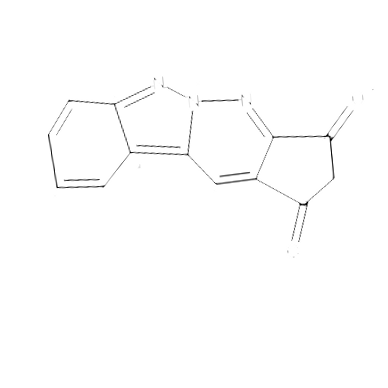 O=C1CC(=O)c2nn3nc4ccccc4c3cc21